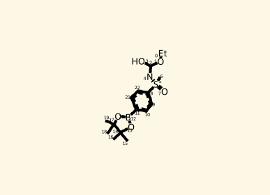 CCOC(O)N=S(C)(=O)c1ccc(B2OC(C)(C)C(C)(C)O2)cc1